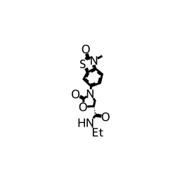 CCNC(=O)[C@H]1CN(c2ccc3c(c2)sc(=O)n3C)C(=O)O1